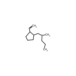 C=CC1CCCC1CN(C)CCC